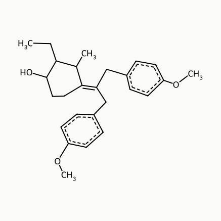 CCC1C(O)CCC(=C(Cc2ccc(OC)cc2)Cc2ccc(OC)cc2)C1C